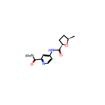 CNC(=O)c1cc(NC(=O)[C@H]2CC[C@@H](C)O2)ccn1